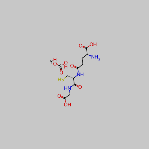 N[C@@H](CCC(=O)N[C@@H](CS)C(=O)NCC(=O)O)C(=O)O.O=[Si](O)O.[Y]